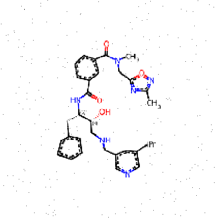 Cc1noc(CN(C)C(=O)c2cccc(C(=O)N[C@@H](Cc3ccccc3)[C@H](O)CNCc3cncc(C(C)C)c3)c2)n1